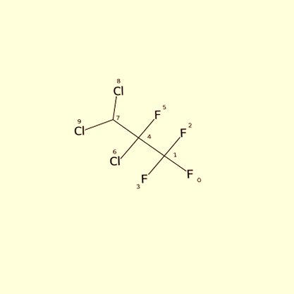 FC(F)(F)C(F)(Cl)C(Cl)Cl